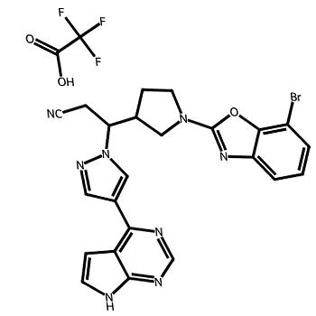 N#CCC(C1CCN(c2nc3cccc(Br)c3o2)C1)n1cc(-c2ncnc3[nH]ccc23)cn1.O=C(O)C(F)(F)F